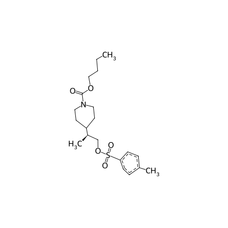 CCCCOC(=O)N1CCC([C@H](C)COS(=O)(=O)c2ccc(C)cc2)CC1